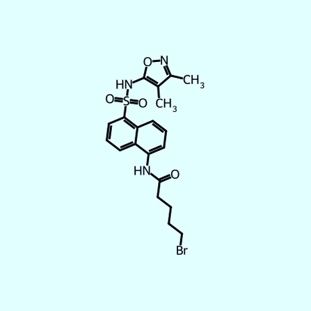 Cc1noc(NS(=O)(=O)c2cccc3c(NC(=O)CCCCBr)cccc23)c1C